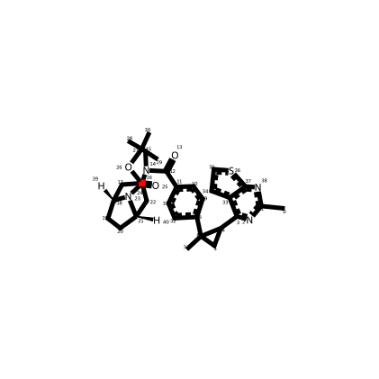 Cc1nc(C2CC2(C)c2ccc(C(=O)N(C)C3C[C@H]4CC[C@@H](C3)N4C(=O)OC(C)(C)C)cc2)c2ccsc2n1